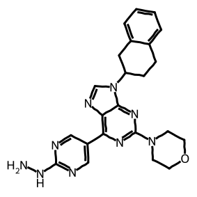 NNc1ncc(-c2nc(N3CCOCC3)nc3c2ncn3C2CCc3ccccc3C2)cn1